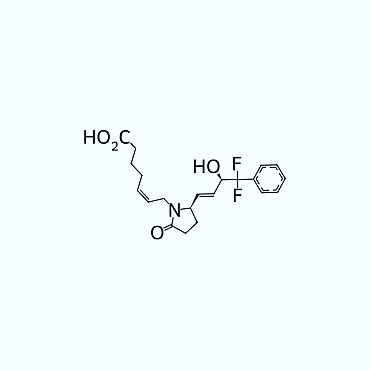 O=C(O)CCC/C=C\CN1C(=O)CC[C@@H]1/C=C/[C@@H](O)C(F)(F)c1ccccc1